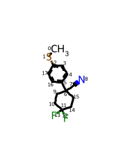 CSc1ccc(C2(C#N)CCC(F)(F)CC2)cc1